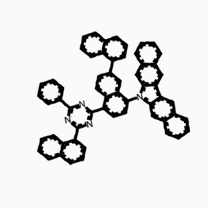 c1ccc(-c2nc(-c3cccc4ccccc34)nc(-c3ccc(-n4c5cc6ccccc6cc5c5cc6ccccc6cc54)c4cc(-c5cccc6ccccc56)ccc34)n2)cc1